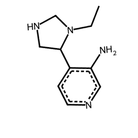 CCN1CNCC1c1ccncc1N